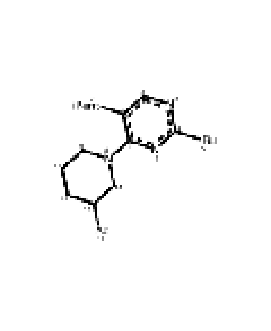 CCCC(C)c1cnc(C(C)CC)nc1N1CCCC(C(C)=O)C1